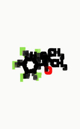 C[Si](C)(C)C(=O)c1c(F)c(F)c(F)c(F)c1F